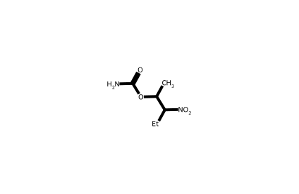 CCC(C(C)OC(N)=O)[N+](=O)[O-]